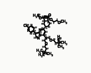 COCCO[C@]1(C(=O)O)CC[C@@H](c2cc(N(COCC[Si](C)(C)C)COCC[Si](C)(C)C)n3ncc(-c4ccc(Cl)nc4)c3n2)CC1C(C)OC